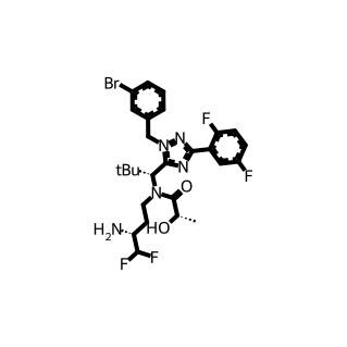 C[C@H](O)C(=O)N(CC[C@@H](N)C(F)F)[C@@H](c1nc(-c2cc(F)ccc2F)nn1Cc1cccc(Br)c1)C(C)(C)C